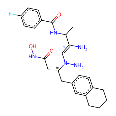 CC(NC(=O)c1ccc(F)cc1)/C(N)=C/N(N)[C@@H](CC(=O)NO)Cc1ccc2c(c1)CCCC2